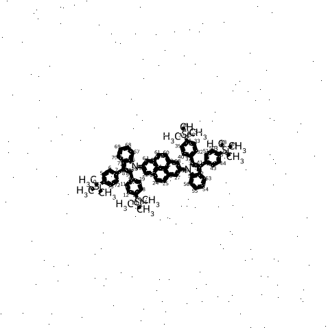 C[Si](C)(C)c1ccc(-c2c(-c3ccc([Si](C)(C)C)cc3)n(-c3cc4ccc5cc(-n6c(-c7ccc([Si](C)(C)C)cc7)c(-c7ccc([Si](C)(C)C)cc7)c7ccccc76)cc6ccc(c3)c4c56)c3ccccc23)cc1